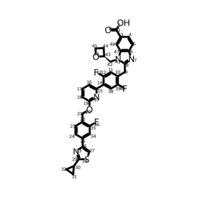 O=C(O)c1ccc2nc(Cc3cc(F)c(-c4cccc(OCc5ccc(-c6csc(C7CC7)n6)cc5F)n4)cc3F)n(C[C@@H]3CCO3)c2c1